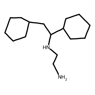 NCCNC(CC1CCCCC1)C1CCCCC1